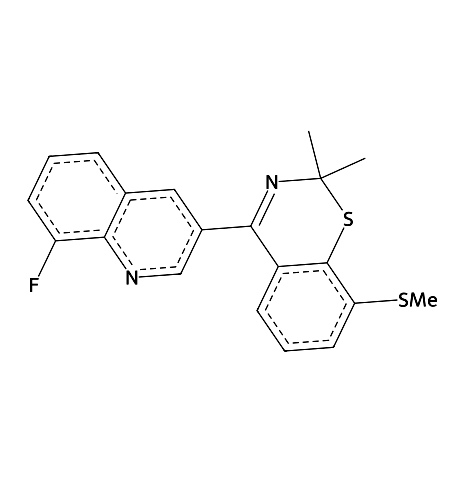 CSc1cccc2c1SC(C)(C)N=C2c1cnc2c(F)cccc2c1